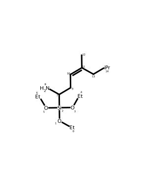 CCO[Si](OCC)(OCC)C(N)CC=C(C)CC(C)C